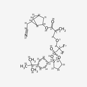 C=C(COCC(F)(F)S(=O)(=O)OS1(c2ccc(C(C)(C)C)cc2)CCCC1)C(=O)OC1CC2CC(CC#N)C1C2